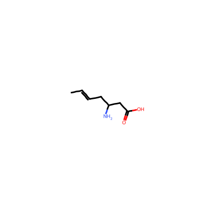 CC=CCC(N)CC(=O)O